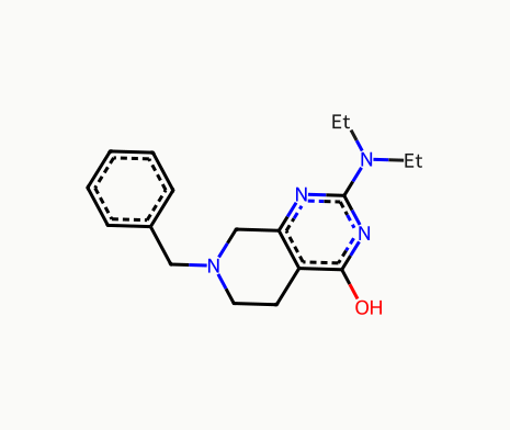 CCN(CC)c1nc(O)c2c(n1)CN(Cc1ccccc1)CC2